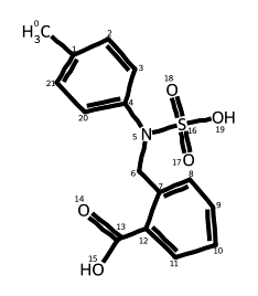 Cc1ccc(N(Cc2ccccc2C(=O)O)S(=O)(=O)O)cc1